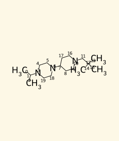 CC(C)N1CCN(C2CCN(CC(C)(C)C)CC2)CC1